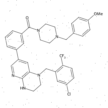 COc1ccc(CN2CCN(C(=O)c3cccc(-c4cnc5c(c4)N(Cc4cc(Cl)ccc4C(F)(F)F)CCN5)c3)CC2)cc1